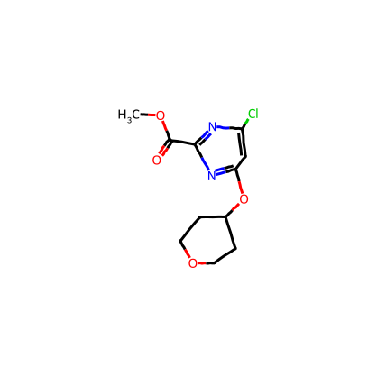 COC(=O)c1nc(Cl)cc(OC2CCOCC2)n1